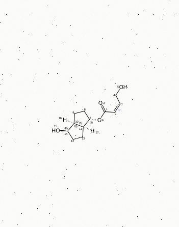 O=C(/C=C\CO)O[C@H]1CC[C@H]2[C@@H]1CC[C@H]2O